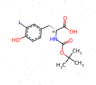 CC(C)(C)OC(=O)N[C@H](Cc1ccc(O)c(I)c1)C(=O)O